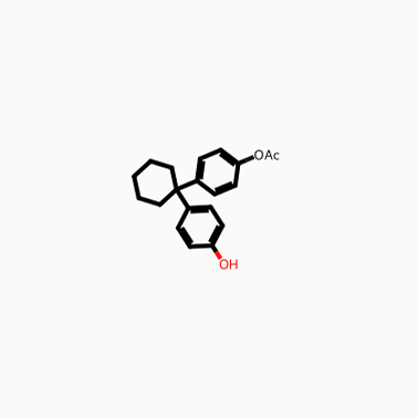 CC(=O)Oc1ccc(C2(c3ccc(O)cc3)CCCCC2)cc1